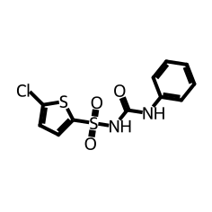 O=C(Nc1ccccc1)NS(=O)(=O)c1ccc(Cl)s1